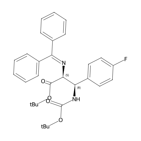 CC(C)(C)OC(=O)N[C@H](c1ccc(F)cc1)[C@H](N=C(c1ccccc1)c1ccccc1)C(=O)OC(C)(C)C